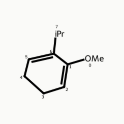 COC1=CCCC=C1C(C)C